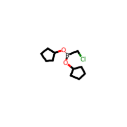 ClCB(OC1CCCC1)OC1CCCC1